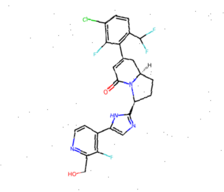 O=C1C=C(c2c(C(F)F)ccc(Cl)c2F)C[C@H]2CC[C@@H](c3ncc(-c4ccnc(CO)c4F)[nH]3)N12